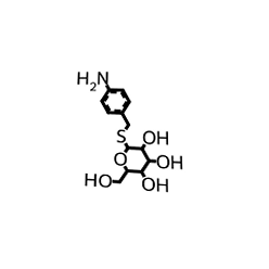 Nc1ccc(CSC2OC(CO)C(O)C(O)C2O)cc1